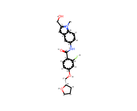 Cn1c(CO)cc2cc(NC(=O)c3ccc(OC[C@@H]4CCCO4)cc3F)ccc21